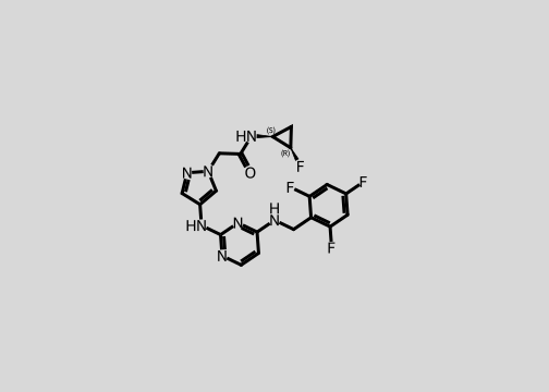 O=C(Cn1cc(Nc2nccc(NCc3c(F)cc(F)cc3F)n2)cn1)N[C@H]1C[C@H]1F